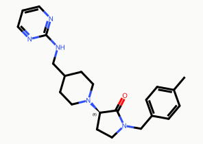 Cc1ccc(CN2CC[C@@H](N3CCC(CNc4ncccn4)CC3)C2=O)cc1